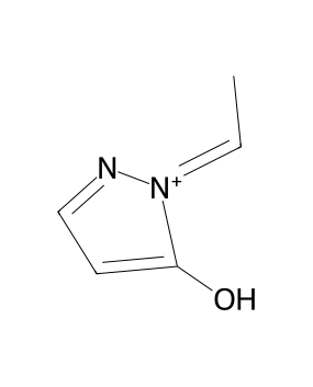 C/C=[N+]1\N=CC=C1O